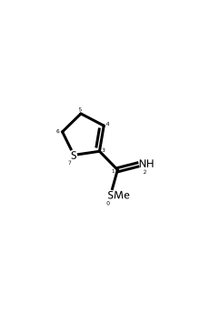 CSC(=N)C1=CCCS1